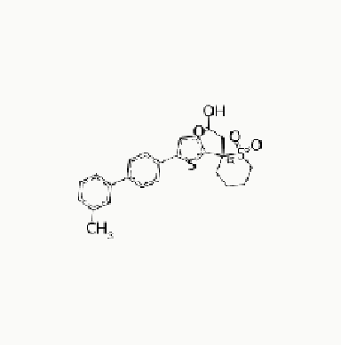 Cc1cccc(-c2ccc(-c3ccc([C@@]4(CC(=O)O)CCCCS4(=O)=O)s3)cc2)c1